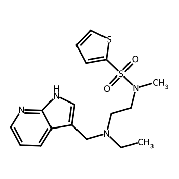 CCN(CCN(C)S(=O)(=O)c1cccs1)Cc1c[nH]c2ncccc12